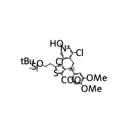 COc1ccc([C@H](Cc2c(Cl)c[n+](O)cc2Cl)c2cc(CCO[Si](C)(C)C(C)(C)C)sc2C(=O)[O-])cc1OC